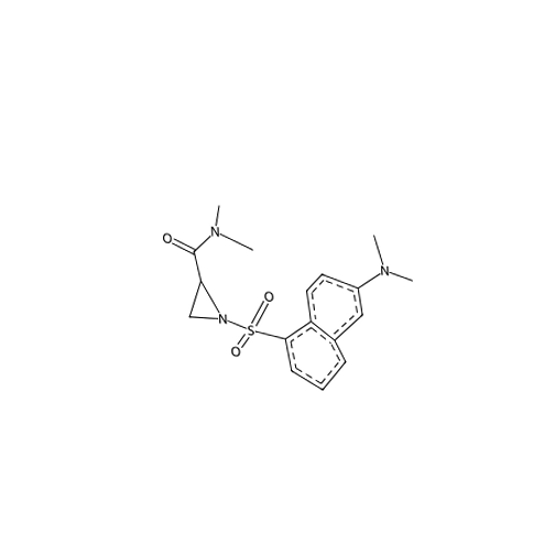 CN(C)C(=O)C1CN1S(=O)(=O)c1cccc2cc(N(C)C)ccc12